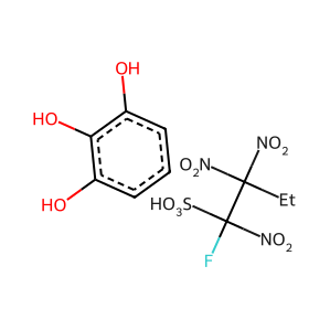 CCC([N+](=O)[O-])([N+](=O)[O-])C(F)([N+](=O)[O-])S(=O)(=O)O.Oc1cccc(O)c1O